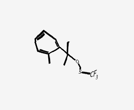 Cc1ccccc1C(C)(C)OSC(F)(F)F